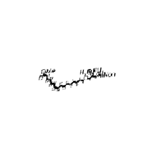 CCCCCCCCCOCC(COCCCCCCCC/C=C\CCCCCC(=O)OC)N(C)C